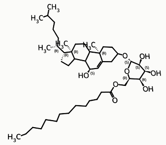 CCCCCCCCCCCCCC(=O)OC[C@H]1O[C@H](OC2CC[C@@]3(C)C(=C[C@@H](O)C4C3CC[C@@]3(C)C4CC[C@@H]3[C@H](C)CCCC(C)C)C2)[C@@H](O)[C@@H](O)[C@H]1O